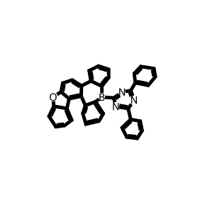 c1ccc(-c2nc(B3c4ccccc4-c4ccc5oc6ccccc6c5c4-c4ccccc43)nc(-c3ccccc3)n2)cc1